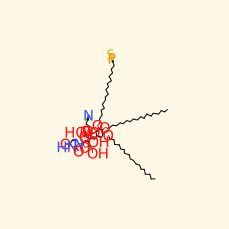 CCCCCCCCCCCCCCCCCCOc1cc(CC(CC(=O)O)(C(=O)OCCC#N)[C@@]2(O)[C@@H](CO)O[C@@H](n3ccc(=O)[nH]c3=O)[C@@H]2OC)cc(OCCCCCCCCCCCCCCCCCC#P=S)c1OCCCCCCCCCCCCCCCCCC